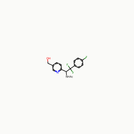 CC(=O)NC(c1ccc(CO)cn1)C(F)(F)c1ccc(F)cc1